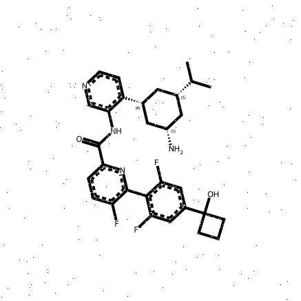 CC(C)[C@@H]1C[C@H](N)C[C@H](c2ccncc2NC(=O)c2ccc(F)c(-c3c(F)cc(C4(O)CCC4)cc3F)n2)C1